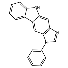 c1ccc(-n2cnc3cc4[nH]c5ccccc5c4cc32)cc1